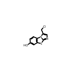 Oc1ccc2c(c1)sc1ncc(CCl)n12